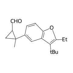 CCc1oc2ccc(C3(C)CC3C=O)cc2c1C(C)(C)C